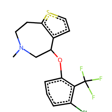 CN1CCc2sccc2C(Oc2cccc(Cl)c2C(F)(F)F)C1